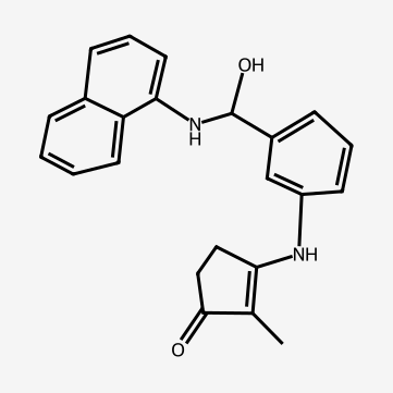 CC1=C(Nc2cccc(C(O)Nc3cccc4ccccc34)c2)CCC1=O